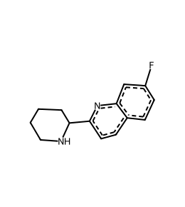 Fc1ccc2ccc(C3CCCCN3)nc2c1